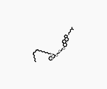 CCCCC/C=C\C/C=C\CCCCCCCCOCC(CN1CCCCC1)OCCOCCO[C@H]1CC[C@@]2(C)C(=CCC3C4CC[C@H](CCCCC(C)C)C4CCC32)C1